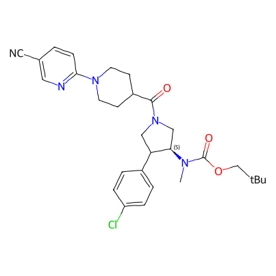 CN(C(=O)OCC(C)(C)C)[C@@H]1CN(C(=O)C2CCN(c3ccc(C#N)cn3)CC2)CC1c1ccc(Cl)cc1